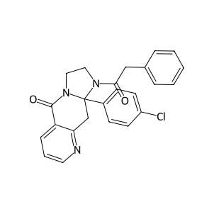 O=C(Cc1ccccc1)N1CCN2C(=O)c3cccnc3CC12c1ccc(Cl)cc1